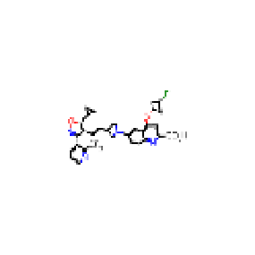 O=C(O)c1cc(O[C@H]2C[C@@H](F)C2)c2cc(N3CC(/C=C/c4c(-c5cccnc5C(F)(F)F)noc4C4CC4)C3)ccc2n1